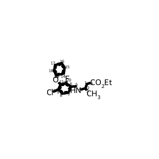 CCOC(=O)CC(C)NCc1ccc(Cl)c(Oc2ccccc2)c1F